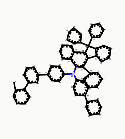 Cc1ccccc1-c1cccc(-c2ccc(N(c3ccc(-c4ccccc4)cc3)c3c(-c4ccccc4)c4c(c5ccccc35)C(c3ccccc3)(c3ccccc3)c3ccccc3-4)cc2)c1